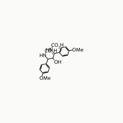 COc1ccc([C@@H](NC(=O)O)C(O)[C@H](NC(=O)O)c2ccc(OC)cc2)cc1